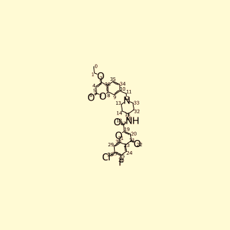 CCOc1cc(=O)oc2cc(CN3CCC(NC(=O)c4cc(=O)c5cc(F)c(Cl)cc5o4)CC3)ccc12